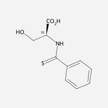 O=C(O)[C@H](CO)NC(=S)c1ccccc1